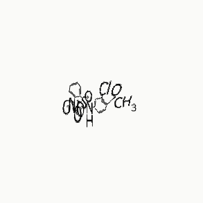 CC(=O)c1ccc(NS(=O)(=O)c2ccccc2[N+](=O)[O-])cc1Cl